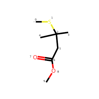 [CH2]SC(C)(C)CC(=O)OC